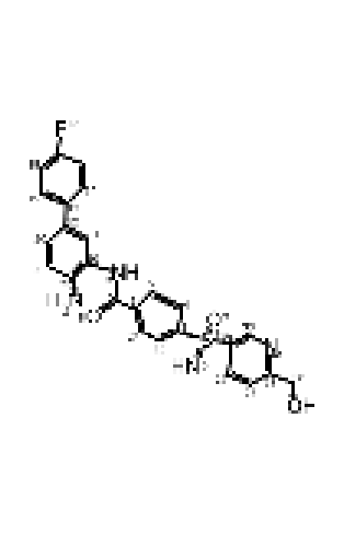 N=S(=O)(c1ccc(C(=O)Nc2cc(-c3ccc(F)cc3)ccc2N)cc1)c1ccc(CO)nc1